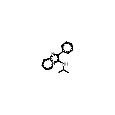 CC(C)Nc1c(-c2ccccc2)nc2ccccn12